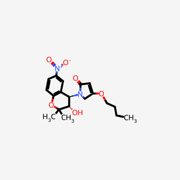 CCCCOC1=CC(=O)N([C@@H]2c3cc([N+](=O)[O-])ccc3OC(C)(C)[C@H]2O)C1